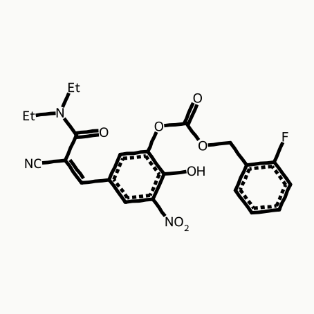 CCN(CC)C(=O)C(C#N)=Cc1cc(OC(=O)OCc2ccccc2F)c(O)c([N+](=O)[O-])c1